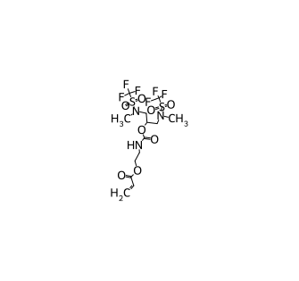 C=CC(=O)OCCNC(=O)OC(CN(C)S(=O)(=O)C(F)(F)F)CN(C)S(=O)(=O)C(F)(F)F